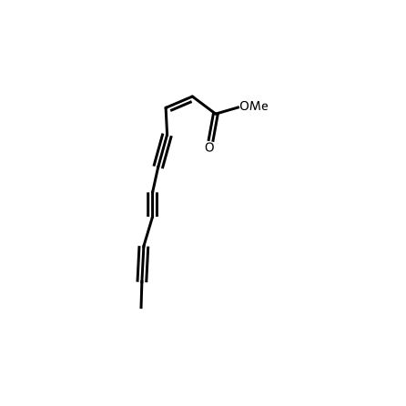 CC#CC#CC#C/C=C\C(=O)OC